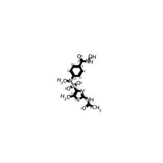 CC(=O)Nc1nc(S(=O)(=O)N(C)c2ccc(C(=O)NO)cc2)c(C)s1